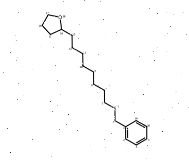 c1ccc(CSCCCCCCCCC2CCCO2)cc1